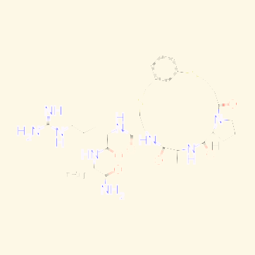 CC1NC(=O)[C@@H]2CCCN2C(=O)CCSc2cccc(c2)CSC[C@@H](C(=O)N[C@@H](CCCNC(=N)N)C(=O)N[C@H](C(N)=O)C(C)(C)C)NC1=O